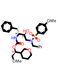 COC[C@@H](OC(=O)N[C@H](Cc1ccccc1)[C@@H](O)CN(CC(C)C)S(=O)(=O)c1ccc(OC)cc1)C1CCCOC1